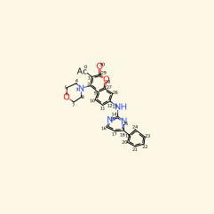 CC(=O)c1c(N2CCOCC2)c2ccc(Nc3nccc(-c4ccccc4)n3)cc2oc1=O